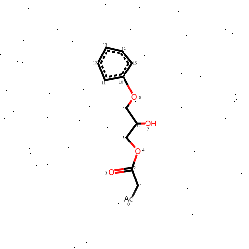 CC(=O)CC(=O)OCC(O)COc1ccccc1